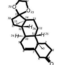 C[C@]12CCC(=O)CC1=CC[C@@H]1[C@@H]2CC[C@@]2(C)[C@H]1CCC21OCCO1